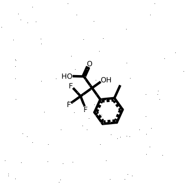 Cc1ccccc1C(O)(C(=O)O)C(F)(F)F